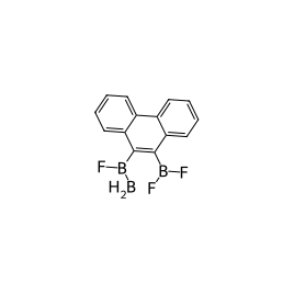 BB(F)c1c(B(F)F)c2ccccc2c2ccccc12